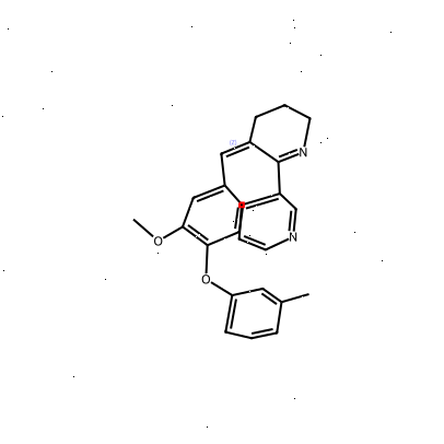 COc1cc(/C=C2/CCCN=C2c2cccnc2)ccc1Oc1cccc(C)c1